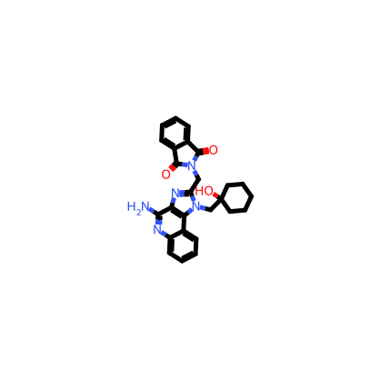 Nc1nc2ccccc2c2c1nc(CN1C(=O)c3ccccc3C1=O)n2CC1(O)CCCCC1